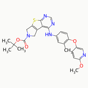 COc1ccc(Oc2ccc(Nc3ncnc4sc5c(c34)CN(C(=O)OC(C)(C)C)C5)cc2C)cn1